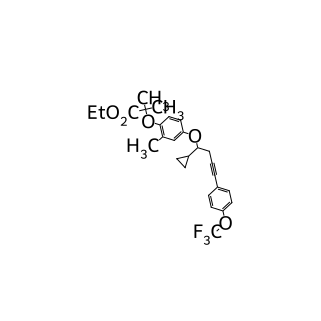 CCOC(=O)C(C)(C)Oc1ccc(OC(CC#Cc2ccc(OC(F)(F)F)cc2)C2CC2)cc1C